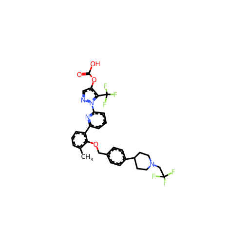 Cc1cccc(-c2cccc(-n3ncc(OC(=O)O)c3C(F)(F)F)n2)c1OCc1ccc(C2CCN(CC(F)(F)F)CC2)cc1